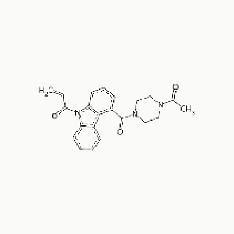 C=CC(=O)n1c2ccccc2c2c(C(=O)N3CCN(C(C)=O)CC3)cccc21